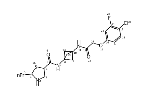 CCCC1NCC(C(=O)NC23CC(NC(=O)COc4ccc(Cl)c(F)c4)(C2)C3)S1